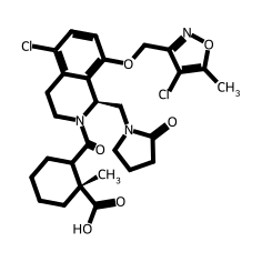 Cc1onc(COc2ccc(Cl)c3c2[C@@H](CN2CCCC2=O)N(C(=O)C2CCCC[C@@]2(C)C(=O)O)CC3)c1Cl